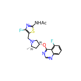 CC(=O)Nc1nc(F)c(CN2C[C@H](Oc3ncnc4cccc(F)c34)C[C@@H]2C)s1